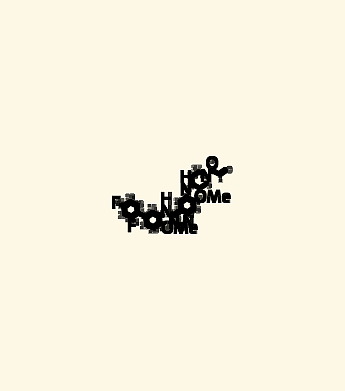 C=CC(=O)N1CCC(Nc2cc3c(Nc4cc(-c5ccc(F)cc5F)ccc4OC)ncnc3cc2OC)CC1